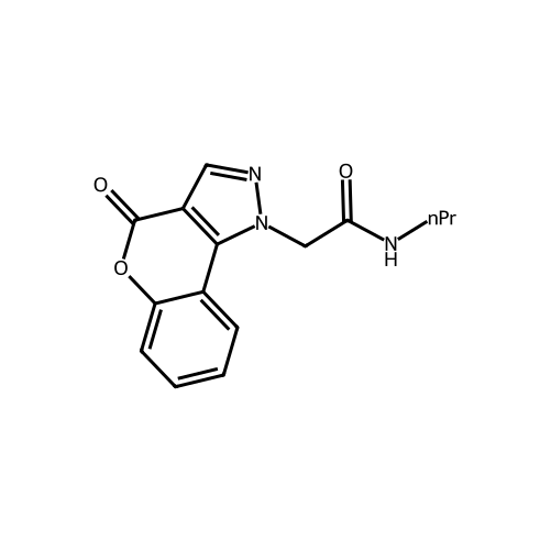 CCCNC(=O)Cn1ncc2c(=O)oc3ccccc3c21